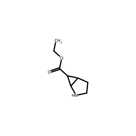 CCOC(=O)C1C2CCNC21